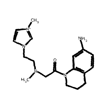 CN(CCn1cc[n+](C)c1)CC(=O)N1CCCc2ccc(N)cc21